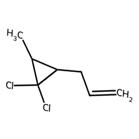 C=CCC1C(C)C1(Cl)Cl